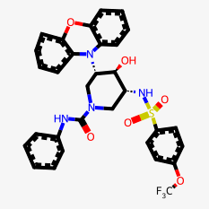 O=C(Nc1ccccc1)N1C[C@@H](NS(=O)(=O)c2ccc(OC(F)(F)F)cc2)[C@H](O)[C@@H](N2c3ccccc3Oc3ccccc32)C1